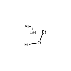 CCOCC.[AlH3].[LiH]